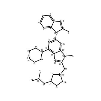 Cc1nc2ccccc2n1-c1nc(N2CCOCC2)c2nc(CN3CCC(CC(C)C)C3)n(C)c2n1